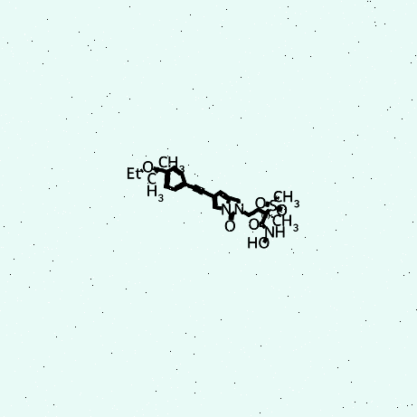 CCOC(C)(C)c1ccc(C#Cc2cc3n(c2)C(=O)N(CC[C@](C)(C(=O)NO)S(C)(=O)=O)C3)cc1